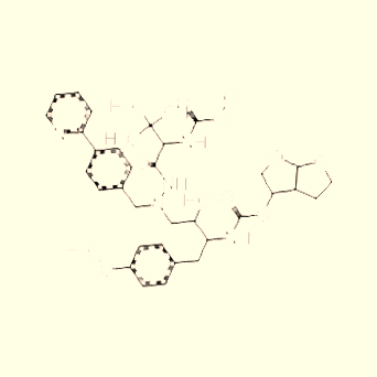 COC(=O)NC(C(=O)NN(Cc1ccc(-c2ccccn2)cc1)CC(O)C(Cc1ccc(OC)cc1)NC(=O)OC1COC2OCCC12)C(C)(C)C